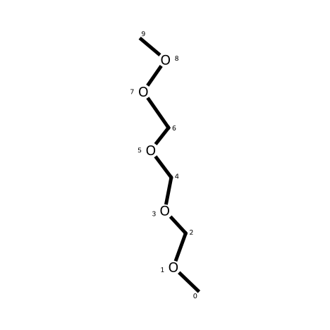 COCOCOCOOC